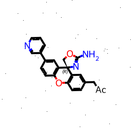 CC(=O)Cc1ccc2c(c1)[C@]1(COC(N)=N1)c1cc(-c3cccnc3)ccc1O2